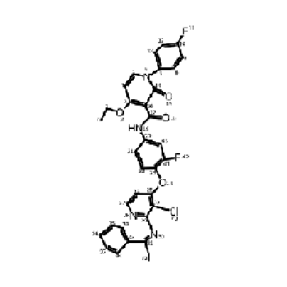 CCOc1ccn(-c2ccc(F)cc2)c(=O)c1C(=O)Nc1ccc(Oc2ccnc(/N=C(/I)c3ccccc3)c2Cl)c(F)c1